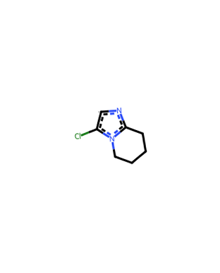 Clc1[c]nc2n1CCCC2